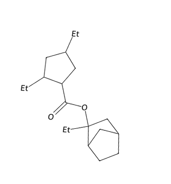 CCC1CC(CC)C(C(=O)OC2(CC)CC3CCC2C3)C1